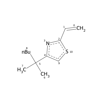 C=Cc1nc(C(C)(C)CCCC)cs1